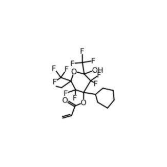 C=CC(=O)OC1(C2CCCCC2)C(F)(F)C(O)(C(F)(F)F)OC(CC)(C(F)(F)F)C1(F)F